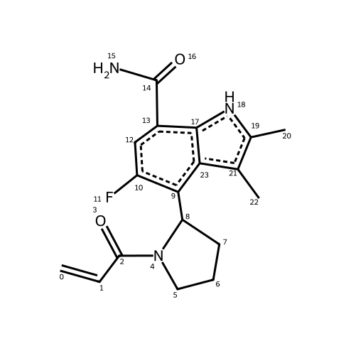 C=CC(=O)N1CCCC1c1c(F)cc(C(N)=O)c2[nH]c(C)c(C)c12